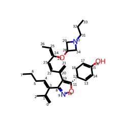 C=C(C)/C(=C\CCC)c1noc([C@H]2C=CC(O)=CC2)c1C(=C)/C=C\C(=C/C)OC1CN(CCC)C1